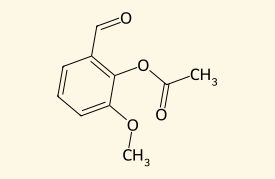 COc1cccc(C=O)c1OC(C)=O